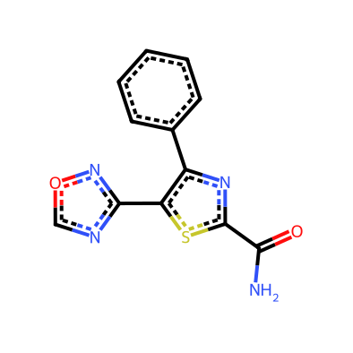 NC(=O)c1nc(-c2ccccc2)c(-c2ncon2)s1